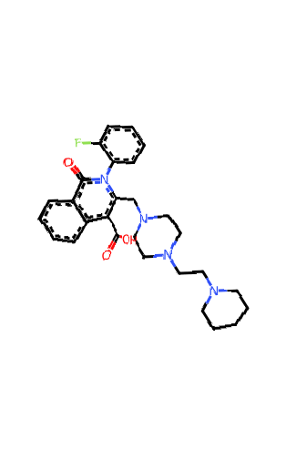 O=C(O)c1c(CN2CCN(CCN3CCCCC3)CC2)n(-c2ccccc2F)c(=O)c2ccccc12